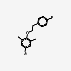 Cc1cc(Br)cc(C)c1OCCc1ccc(F)cc1